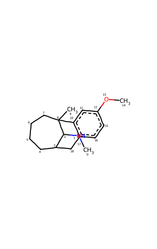 CNC1C2CCCCC1(C)c1cc(OC)ccc1C2